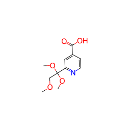 COCC(OC)(OC)c1cc(C(=O)O)ccn1